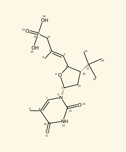 CC(=CC1O[C@@H](n2cc(C)c(=O)[nH]c2=O)C[C@H]1C(C)(C)C)CP(=O)(O)O